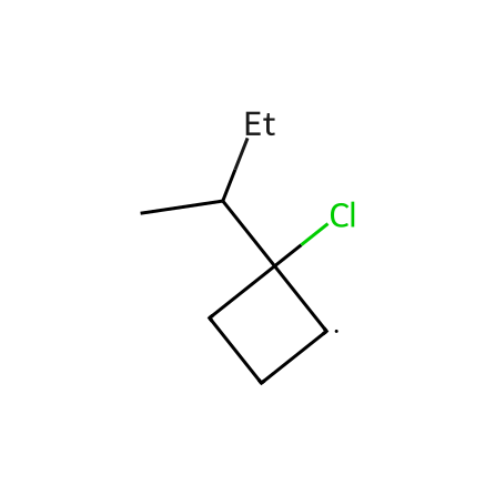 CCC(C)C1(Cl)[CH]CC1